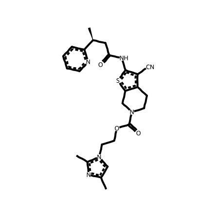 Cc1cn(CCOC(=O)N2CCc3c(sc(NC(=O)C[C@H](C)c4ccccn4)c3C#N)C2)c(C)n1